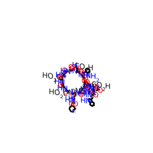 CCCCCCCCCC(=O)N[C@@H](Cc1c[nH]c2ccccc12)C(=O)N[C@@H](CC(N)=O)C(=O)N[C@@H](CC(=O)O)C(=O)N[C@@H]1C(=O)NCC(=O)N[C@@H](CCCNC(=O)OC2CC/C=C/CCC2)C(=O)N[C@@H](CC(=O)O)C(=O)N[C@H](C)C(=O)N[C@@H](CC(=O)O)C(=O)NCC(=O)N[C@H](CO)C(=O)N[C@@H]([C@@H](C)CC(=O)O)C(=O)N[C@@H](CC(=O)c2ccccc2N)C(=O)O[C@@H]1C